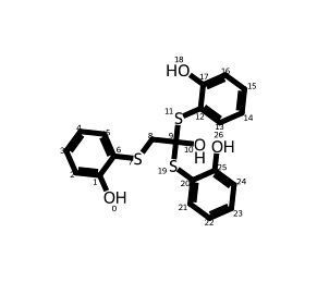 Oc1ccccc1SCC(O)(Sc1ccccc1O)Sc1ccccc1O